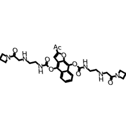 CC(=O)c1cc2c(OC(=O)NCCNCC(=O)N3CCC3)c3ccccc3c(OC(=O)NCCNCC(=O)N3CCC3)c2o1